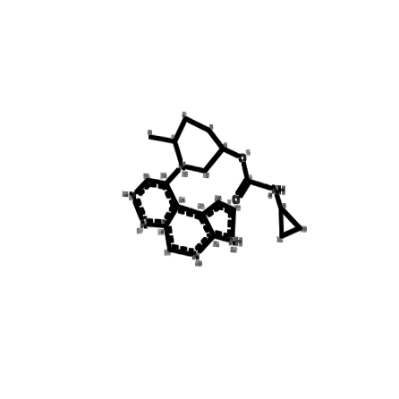 CC1CCC(OC(=O)NC2CC2)CN1c1cnnc2cnc3[nH]ccc3c12